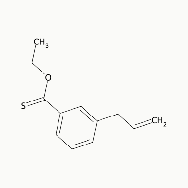 C=CCc1cccc(C(=S)OCC)c1